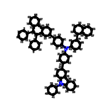 c1ccc(-c2c(-c3ccccc3)c3cc(-c4ccc(N(c5ccc(-c6ccc7c(c6)c6ccccc6n7-c6ccccc6)cc5)c5cccc(-c6cccc7ccccc67)c5)cc4)ccc3c3ccccc23)cc1